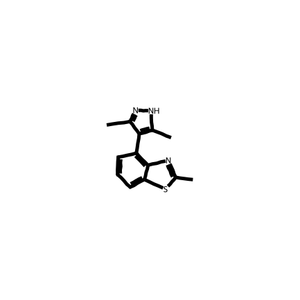 Cc1nc2c(-c3c(C)n[nH]c3C)cccc2s1